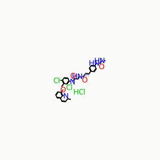 CNC(=O)Nc1ccc(/C=C/C(=O)NCC(=O)N(C)c2ccc(Cl)c(COc3cccc4ccc(C)nc34)c2Cl)cc1.Cl